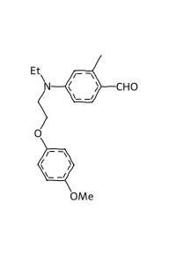 CCN(CCOc1ccc(OC)cc1)c1ccc(C=O)c(C)c1